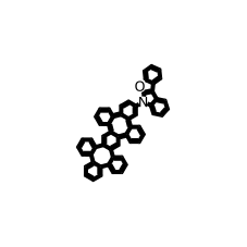 c1ccc2c(c1)oc1c2c2ccccc2n1-c1ccc2c3ccccc3c3cc4c5ccccc5c5ccccc5c5ccccc5c4cc3c3ccccc3c2c1